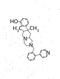 CC1CN2CCN(Cc3ccccc3-c3ccncc3)CC2CC1(C)c1cccc(O)c1